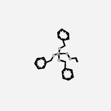 CCOO[Si](OCc1ccccc1)(OCc1ccccc1)OCc1ccccc1